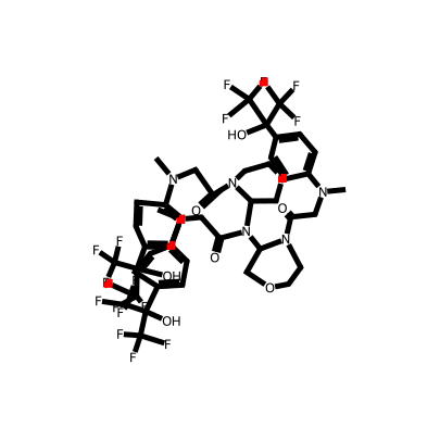 CN(CC(=O)N1CCOCC1N(C(=O)CN(C)c1ccc(C(O)(C(F)(F)F)C(F)(F)F)cc1)C1COCCN1C(=O)CN(C)c1ccc(C(O)(C(F)(F)F)C(F)(F)F)cc1)c1ccc(C(O)(C(F)(F)F)C(F)(F)F)cc1